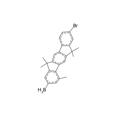 Bc1cc(C)c2c(c1)C(C)(C)c1cc3c(cc1-2)C(C)(C)c1cc(Br)ccc1-3